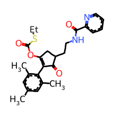 CCSC(=O)OC1=C(c2c(C)cc(C)cc2C)C(=O)C(CCNC(=O)c2ccccn2)C1